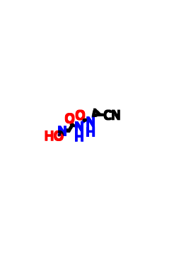 N#CC1CC1NC(=O)NC(=O)C=NO